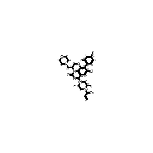 C=CC(=O)N1C[C@H](C)N(c2nc(=O)n3c4c(c(-c5ccc(F)cc5F)c(Cl)cc24)OC[C@@H]3CN2CCOCC2)C[C@H]1C